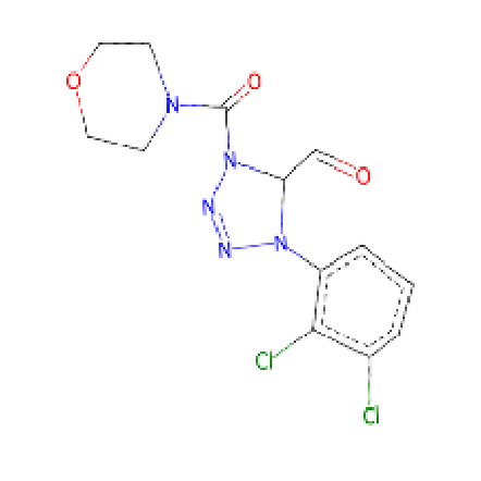 O=CC1N(C(=O)N2CCOCC2)N=NN1c1cccc(Cl)c1Cl